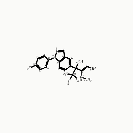 CN/C(=C\S)C(O)(c1ccc2c(cnn2-c2ccc(F)cc2)c1)C(F)(F)F